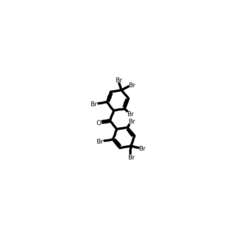 O=C(C1C(Br)=CC(Br)(Br)C=C1Br)C1C(Br)=CC(Br)(Br)C=C1Br